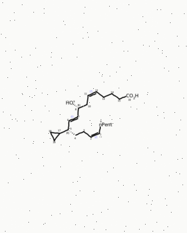 CCCCC/C=C\CC[C@@H](/C=C/[C@H](O)C/C=C\CCCC(=O)O)C1CC1